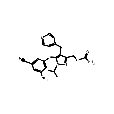 CC(C)n1nc(COC(N)=O)c(Cc2ccncc2)c1Sc1cc(N)cc(C#N)c1